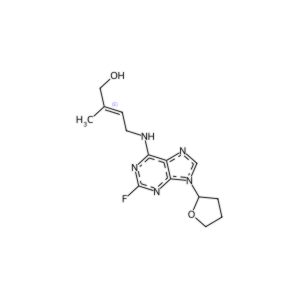 C/C(=C\CNc1nc(F)nc2c1ncn2C1CCCO1)CO